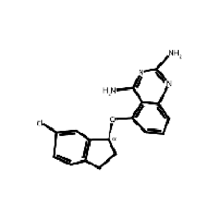 Nc1nc(N)c2c(O[C@H]3CCc4ccc(Cl)cc43)cccc2n1